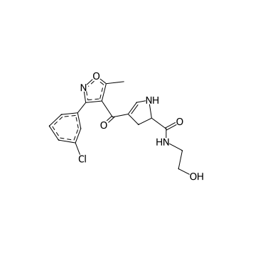 Cc1onc(-c2cccc(Cl)c2)c1C(=O)C1=CNC(C(=O)NCCO)C1